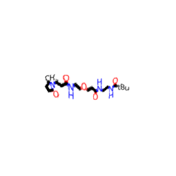 C=C1C=CC(=O)N1CCC(=O)NCCOCCC(=O)NCCNC(=O)C(C)(C)C